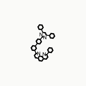 c1ccc(-c2cc(-c3ccccc3)nc(-c3ccc(-c4cccc(-c5ccc6ccc7ccc(-c8ccccc8)nc7c6n5)c4)cc3)n2)cc1